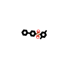 Cc1ccc(C)c(S(=O)(=O)c2ccc(-c3ccccc3)cc2)c1